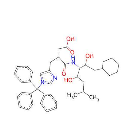 CC(C)CC(O)C(NC(=O)[C@@H](CC(=O)O)Cc1cn(C(c2ccccc2)(c2ccccc2)c2ccccc2)cn1)C(O)CC1CCCCC1